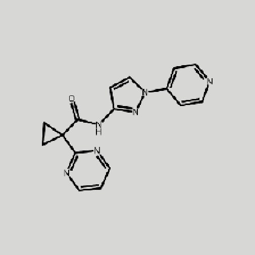 O=C(Nc1ccn(-c2ccncc2)n1)C1(c2ncccn2)CC1